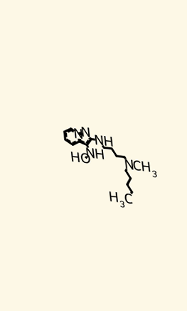 CCCCCN(C)CCCCNc1nn2ccccc2c1NO